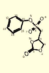 O=C1OCC(CS(=O)(=O)Oc2ccccc2)O1